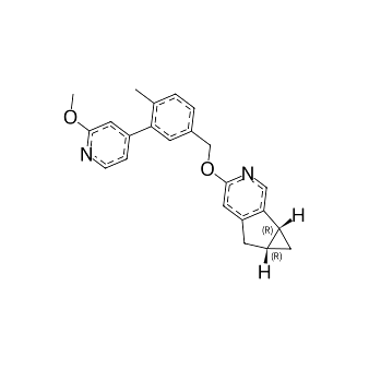 COc1cc(-c2cc(COc3cc4c(cn3)[C@@H]3C[C@@H]3C4)ccc2C)ccn1